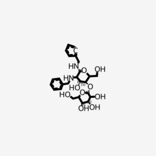 OCC1O[C@H](O[C@@H]2C(CO)O[C@@H](NCc3ccccc3)C(NCc3ccccc3)[C@H]2O)C(O)[C@@H](O)[C@@H]1O